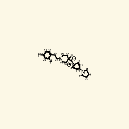 O=S(=O)(c1ccc(N2CCCC2)cc1)C1(F)CCN(CCc2ccc(F)cc2F)CC1